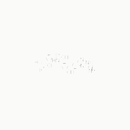 C#CC(C)(C)c1cccc(C(=O)NC(C)c2ccc(C)c(-c3ccc4nc(Nc5cnn(C6CC6)c5)ncc4c3)c2)c1